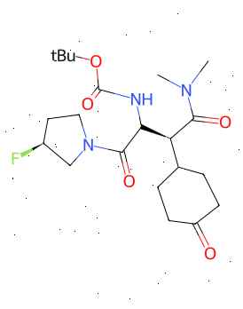 CN(C)C(=O)[C@@H](C1CCC(=O)CC1)C(NC(=O)OC(C)(C)C)C(=O)N1CC[C@H](F)C1